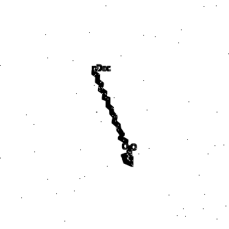 CCCCCCCCCCCCCCCCCCCCCCCCCCCCOC(=O)N1CCCC1